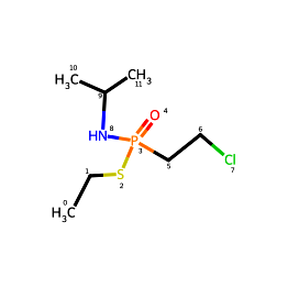 CCSP(=O)(CCCl)NC(C)C